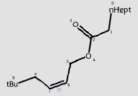 CCCCCCCCC(=O)OC/C=C\CC(C)(C)C